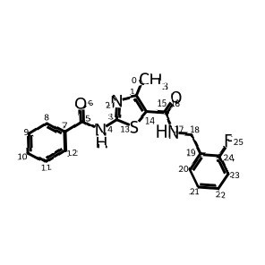 Cc1nc(NC(=O)c2ccccc2)sc1C(=O)NCc1ccccc1F